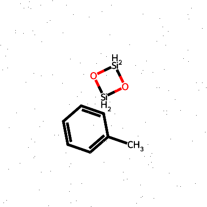 Cc1ccccc1.O1[SiH2]O[SiH2]1